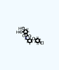 O=C1/C(=C\c2cccc(Oc3ccc(Cl)cc3)c2)Oc2c1ccc(O)c2O